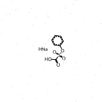 O=C(O)S(=O)(=O)Oc1ccccc1.[NaH]